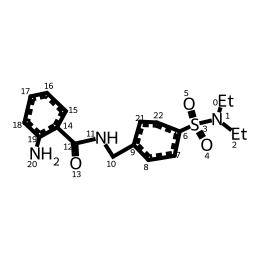 CCN(CC)S(=O)(=O)c1ccc(CNC(=O)c2ccccc2N)cc1